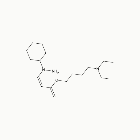 C=C(/C=C\N(N)C1CCCCC1)OCCCCN(CC)CC